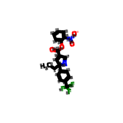 CCC1(c2ccc(C(F)(F)F)cc2)C=C(C(=O)Oc2ccccc2[N+](=O)[O-])C=N1